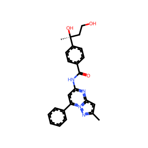 Cc1cc2nc(NC(=O)c3ccc([C@@](C)(O)CCO)cc3)cc(-c3ccccc3)n2n1